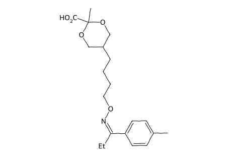 CCC(=NOCCCCC1COC(C)(C(=O)O)OC1)c1ccc(C)cc1